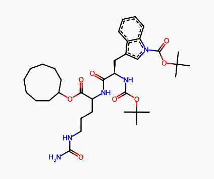 CC(C)(C)OC(=O)N[C@H](Cc1cn(C(=O)OC(C)(C)C)c2ccccc12)C(=O)NC(CCCNC(N)=O)C(=O)OC1CCCCCCCC1